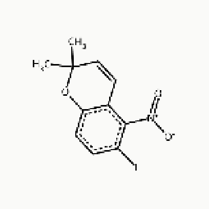 CC1(C)C=Cc2c(ccc(I)c2[N+](=O)[O-])O1